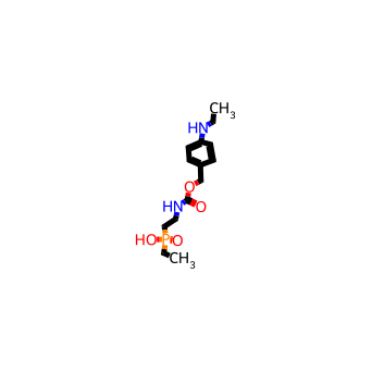 CCNc1ccc(COC(=O)NCCP(=O)(O)CC)cc1